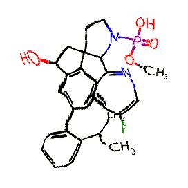 COP(=O)(O)N1CCC2(CC(O)c3cc(-c4ccccc4C(C)C)ccc32)C1c1ccc(F)cn1